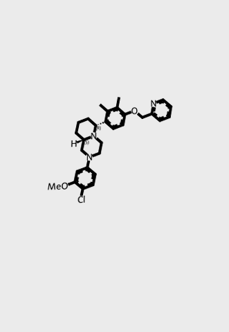 COc1cc(N2CCN3[C@@H](CCC[C@@H]3c3ccc(OCc4ccccn4)c(C)c3C)C2)ccc1Cl